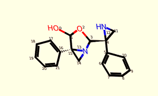 OC1OC([C@]2(c3ccccc3)CN2)N2C[C@@]12c1ccccc1